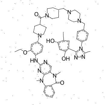 CCOc1cc(N2CCC(C(=O)N3CCC(CN4CCN(Cc5ccc(-n6c(C)nnc6-c6cc(C)c(O)cc6O)cc5)CC4)CC3)CC2)ccc1Nc1ncc2c(n1)N(C)c1ccccc1C(=O)N2C